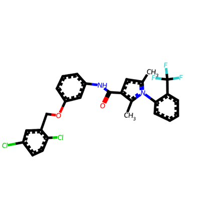 Cc1cc(C(=O)Nc2cccc(OCc3cc(Cl)ccc3Cl)c2)c(C)n1-c1ccccc1C(F)(F)F